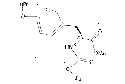 CCCOc1ccc(C[C@H](NC(=O)OC(C)(C)C)C(=O)OC)cc1